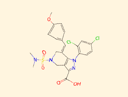 COc1ccc(/C=C2\CN(S(=O)(=O)N(C)C)Cc3c(C(=O)O)nn(-c4ccc(Cl)cc4Cl)c32)cc1